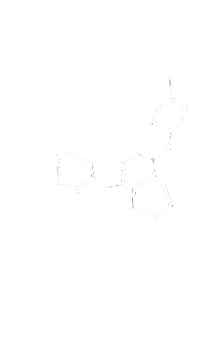 Cl.Cl.Clc1ccc(Nc2nnc(Cc3ccncc3)c3ccccc23)cc1